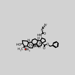 CC1(C)[C@@H](O)CC[C@]2(C)[C@H]3CC[C@@H]4[C@H]5[C@H](NC(=O)N=[N+]=[N-])CC[C@]5(C(=O)OCc5ccccc5)CC[C@@]4(C)[C@]3(C)CC[C@@H]12